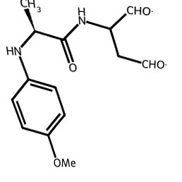 COc1ccc(N[C@@H](C)C(=O)NC([C]=O)C[C]=O)cc1